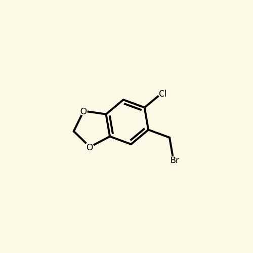 Clc1cc2c(cc1CBr)OCO2